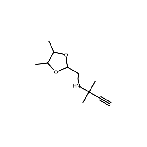 C#CC(C)(C)NCC1OC(C)C(C)O1